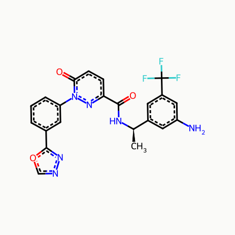 C[C@@H](NC(=O)c1ccc(=O)n(-c2cccc(-c3nnco3)c2)n1)c1cc(N)cc(C(F)(F)F)c1